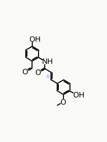 COc1cc(/C=C/C(=O)Nc2cc(O)ccc2C=O)ccc1O